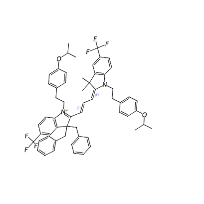 CC(C)Oc1ccc(CCN2/C(=C/C=C/C3=[N+](CCc4ccc(OC(C)C)cc4)c4ccc(C(F)(F)F)cc4C3(Cc3ccccc3)Cc3ccccc3)C(C)(C)c3cc(C(F)(F)F)ccc32)cc1